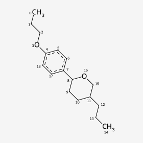 CCCOc1ccc(C2CCC(CCC)CO2)cc1